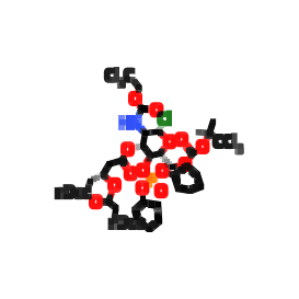 CCCCCCCCCCCC(=O)O[C@H](CCCCCCCCCCC)CC(=O)O[C@@H]1[C@@H](NC(=O)OCC(Cl)(Cl)Cl)[C@H](Cl)O[C@H](COC(=O)OC(C)(C)C(Cl)(Cl)Cl)[C@H]1OP(=O)(Oc1ccccc1)Oc1ccccc1